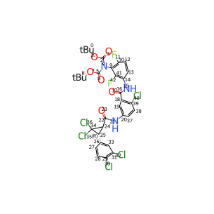 CC(C)(C)OC(=O)N(C(=O)OC(C)(C)C)c1c(F)ccc(NC(=O)c2cc(NC(=O)C3[C@H](c4ccc(Cl)c(Cl)c4)C3(Cl)Cl)ccc2Cl)c1F